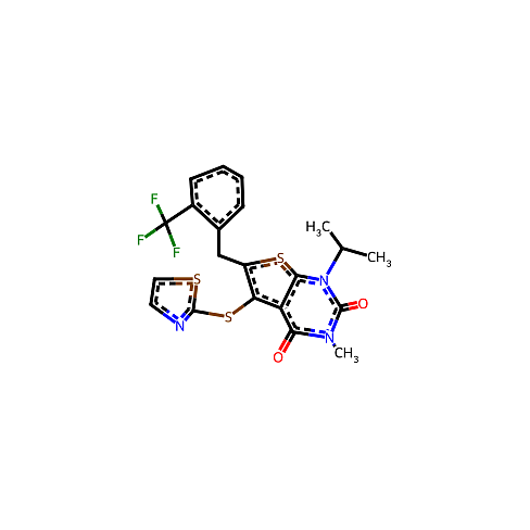 CC(C)n1c(=O)n(C)c(=O)c2c(Sc3nccs3)c(Cc3ccccc3C(F)(F)F)sc21